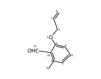 C=CCOc1cccc(C)c1C=O